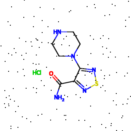 Cl.NC(=O)c1nsnc1N1CCNCC1